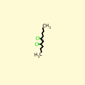 CCCCC/C(Cl)=C/C(Cl)CCCC